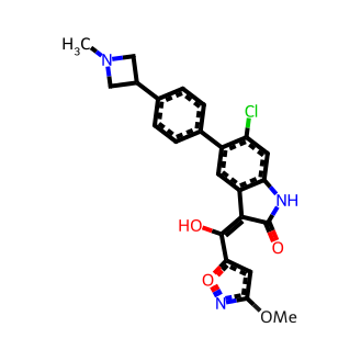 COc1cc(C(O)=C2C(=O)Nc3cc(Cl)c(-c4ccc(C5CN(C)C5)cc4)cc32)on1